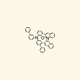 c1ccc(-c2cccc(N(c3ccc(-c4ccccc4)c(-c4ccc5ccccc5c4)c3)c3cccc4c3oc3nc5ccccc5cc34)c2)cc1